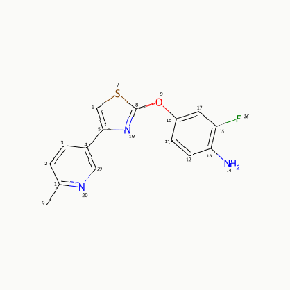 Cc1ccc(-c2csc(Oc3ccc(N)c(F)c3)n2)cn1